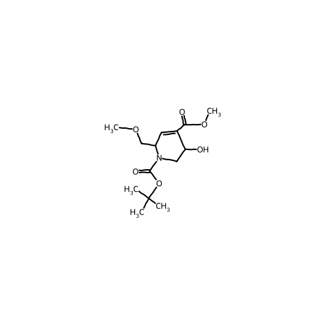 COCC1C=C(C(=O)OC)C(O)CN1C(=O)OC(C)(C)C